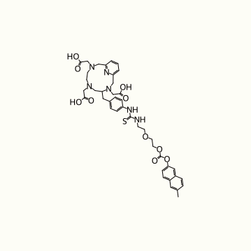 Cc1ccc2cc(OC(=O)OCCOCCNC(=S)Nc3ccc(CC4CN(CC(=O)O)CCN(CC(=O)O)Cc5cccc(n5)CN4CC(=O)O)cc3)ccc2c1